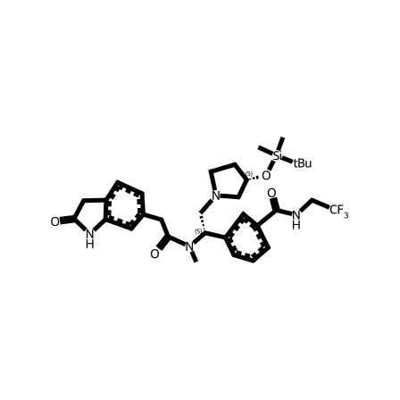 CN(C(=O)Cc1ccc2c(c1)NC(=O)C2)[C@H](CN1CC[C@H](O[Si](C)(C)C(C)(C)C)C1)c1cccc(C(=O)NCC(F)(F)F)c1